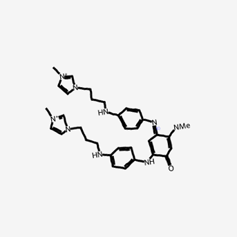 CNC1=CC(=O)C(Nc2ccc(NCCCn3cc[n+](C)c3)cc2)=C/C1=N\c1ccc(NCCCn2cc[n+](C)c2)cc1